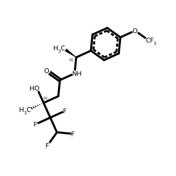 C[C@H](NC(=O)C[C@](C)(O)C(F)(F)C(F)F)c1ccc(OC(F)(F)F)cc1